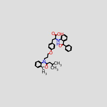 Cc1ccccc1N(CCCOc1ccc(CC(Nc2ccccc2C(=O)c2ccccc2)C(=O)O)cc1)C(=O)CC(C)C